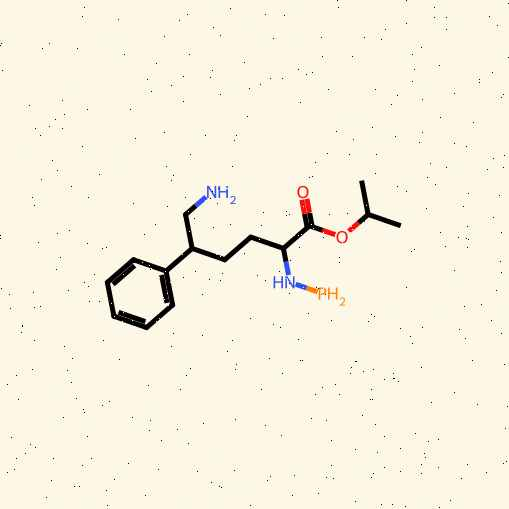 CC(C)OC(=O)C(CCC(CN)c1ccccc1)NP